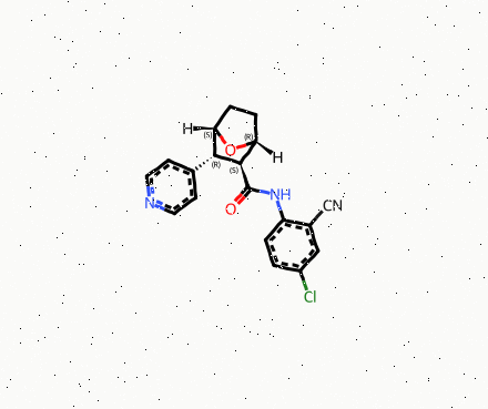 N#Cc1cc(Cl)ccc1NC(=O)[C@H]1[C@H](c2ccncc2)[C@@H]2CC[C@H]1O2